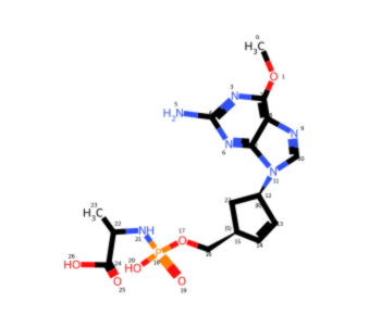 COc1nc(N)nc2c1ncn2[C@H]1C=C[C@@H](COP(=O)(O)NC(C)C(=O)O)C1